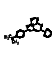 CN(C)c1ccc(C2=CC3=CC(c4ccccc4)=NC4=NC=NC(=N2)N34)cc1